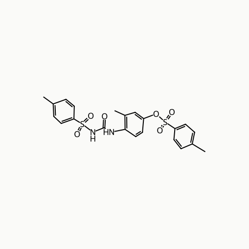 Cc1ccc(S(=O)(=O)NC(=O)Nc2ccc(OS(=O)(=O)c3ccc(C)cc3)cc2C)cc1